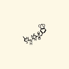 Cc1csc(Nc2nsc(S(=O)(=O)Cc3ccc4c(c3)OCO4)n2)n1